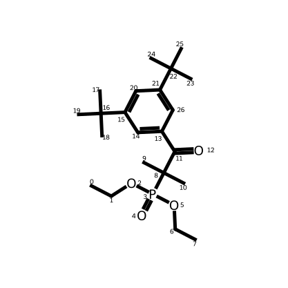 CCOP(=O)(OCC)C(C)(C)C(=O)c1cc(C(C)(C)C)cc(C(C)(C)C)c1